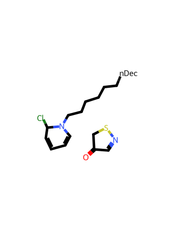 CCCCCCCCCCCCCCCCN1C=CC=CC1Cl.O=C1C=NSC1